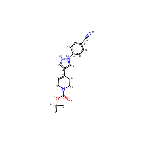 CC(C)(C)OC(=O)N1CC=C(c2cnn(-c3ccc(C#N)cc3)c2)CC1